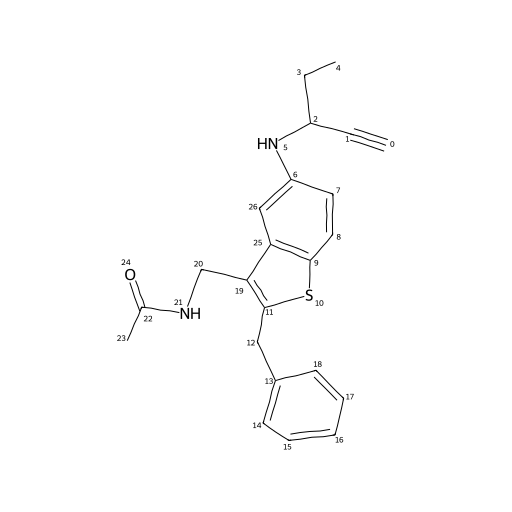 C#CC(CC)Nc1ccc2sc(Cc3ccccc3)c(CNC(C)=O)c2c1